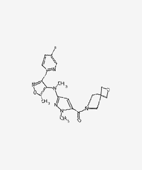 Cc1onc(-c2ccc(F)cn2)c1N(C)c1cc(C(=O)N2CC3(COC3)C2)n(C)n1